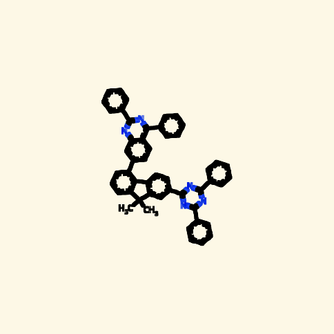 CC1(C)c2cc(-c3nc(-c4ccccc4)nc(-c4ccccc4)n3)ccc2-c2c(-c3ccc4c(-c5ccccc5)nc(-c5ccccc5)nc4c3)cccc21